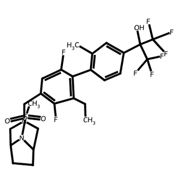 CCc1c(F)c(CN2CC3CCC(C2)N3S(C)(=O)=O)cc(F)c1-c1ccc(C(O)(C(F)(F)F)C(F)(F)F)cc1C